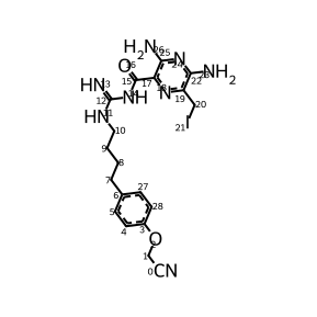 N#CCOc1ccc(CCCCNC(=N)NC(=O)c2nc(CI)c(N)nc2N)cc1